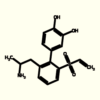 C=CS(=O)(=O)c1cccc(CC(C)N)c1-c1ccc(O)c(O)c1